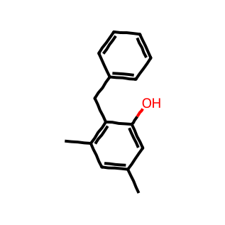 Cc1cc(C)c(Cc2ccccc2)c(O)c1